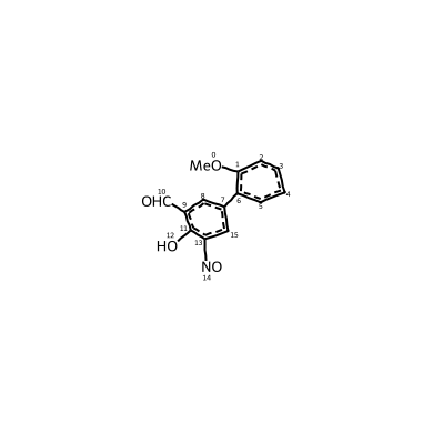 COc1ccccc1-c1cc(C=O)c(O)c(N=O)c1